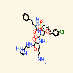 CS(=O)(=O)N[C@H](CCc1ccccc1)C(=O)N1C[C@H](OCc2ccc(Cl)cc2)C[C@H]1C(=O)N[C@@H](CCCCN)C(=O)C(=O)NCCc1ncc[nH]1